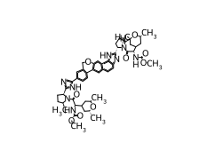 COC(=O)NC(C(=O)N1[C@@H](C)CC[C@H]1c1ncc(-c2ccc3c(c2)COc2cc4c(ccc5nc([C@@H]6CC[C@H]7N6C(=O)[C@@H](NC(=O)OC)C6C[C@@H](C)O[C@]7(C)C6)[nH]c54)cc2-3)[nH]1)C1C[C@@H](C)O[C@H](C)C1